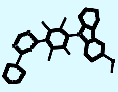 COc1ccc2c(c1)c1ccccc1n2-c1c(C)c(C)c(-c2ncnc(-c3ccccc3)n2)c(C)c1C